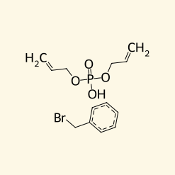 BrCc1ccccc1.C=CCOP(=O)(O)OCC=C